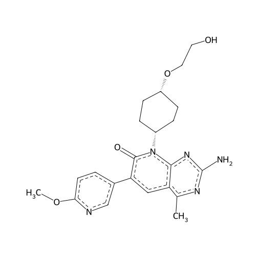 COc1ccc(-c2cc3c(C)nc(N)nc3n([C@H]3CC[C@@H](OCCO)CC3)c2=O)cn1